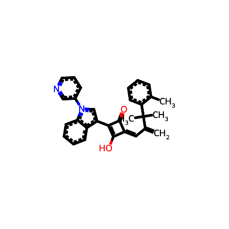 C=C(/C=C1\C(=O)C(c2cn(-c3cccnc3)c3ccccc23)=C1O)C(C)(C)c1ccccc1C